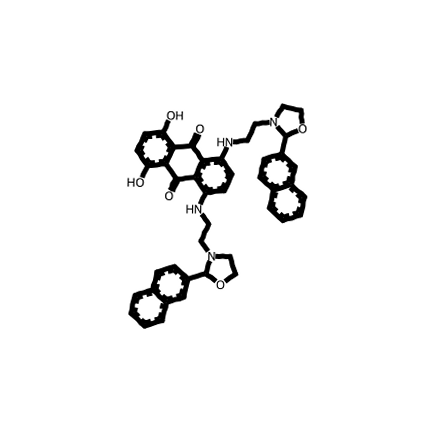 O=C1c2c(O)ccc(O)c2C(=O)c2c(NCCN3CCOC3c3ccc4ccccc4c3)ccc(NCCN3CCOC3c3ccc4ccccc4c3)c21